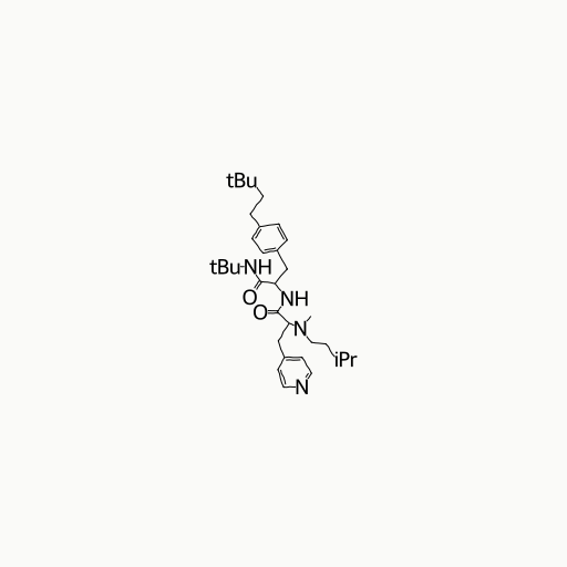 CC(C)CCN(C)C(Cc1ccncc1)C(=O)NC(Cc1ccc(CCC(C)(C)C)cc1)C(=O)NC(C)(C)C